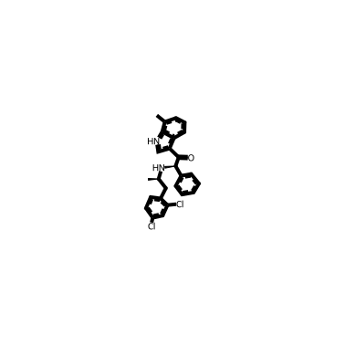 Cc1cccc2c(C(=O)[C@H](N[C@H](C)Cc3ccc(Cl)cc3Cl)c3ccccc3)c[nH]c12